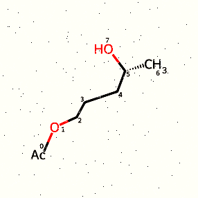 CC(=O)OCCC[C@@H](C)O